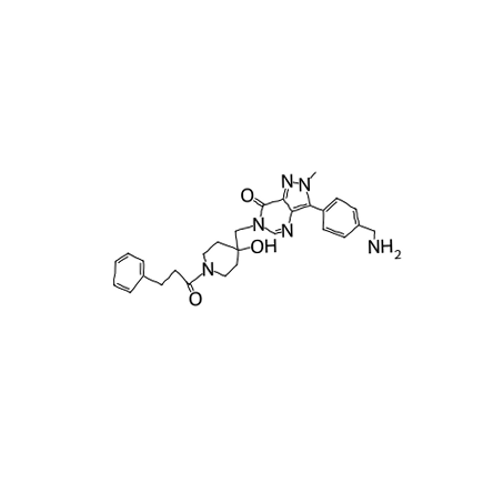 Cn1nc2c(=O)n(CC3(O)CCN(C(=O)CCc4ccccc4)CC3)cnc2c1-c1ccc(CN)cc1